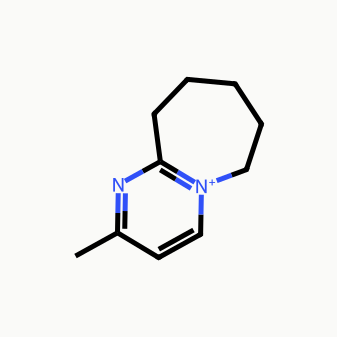 Cc1cc[n+]2c(n1)CCCCC2